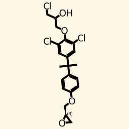 CC(C)(c1ccc(OC[C@H]2CO2)cc1)c1cc(Cl)c(OCC(O)CCl)c(Cl)c1